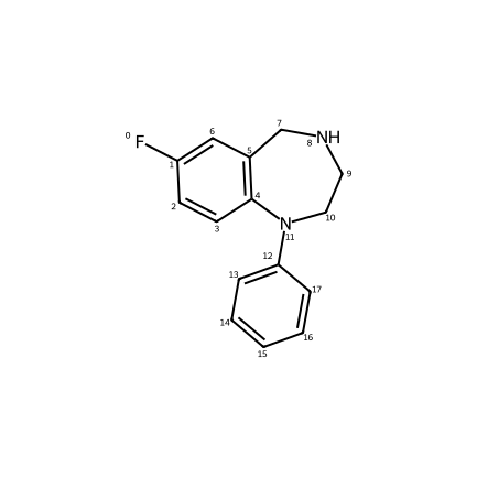 Fc1ccc2c(c1)CNCCN2c1ccccc1